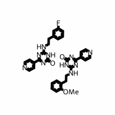 COc1ccccc1CCNc1nc(-c2ccncc2)nc(=O)[nH]1.O=c1nc(-c2ccncc2)nc(NCCc2cccc(F)c2)[nH]1